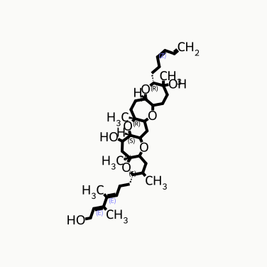 C=C/C=C\CC[C@H]1O[C@H]2CC[C@@]3(C)O[C@H]4C(O)C[C@@]5(C)O[C@@H](CC/C=C(C)/C(C)=C/CO)C(C)CC5OC4CC3OC2CCC1(C)O